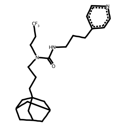 O=C(NCCCc1ccncc1)N(CCCC12CC3CC(CC(C3)C1)C2)CCC(F)(F)F